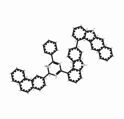 c1ccc(C2=NC(c3cccc4oc5cc(-c6cccc7sc8cc9ccccc9cc8c67)ccc5c34)=NC(c3ccc4ccc5ccccc5c4c3)N2)cc1